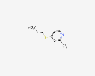 O=C(O)CCSc1ccnc(C(F)(F)F)c1